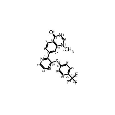 Cn1cnc(=O)c2ccc(-c3nccnc3Sc3ccc(C(F)(F)F)cc3)cc21